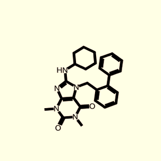 Cn1c(=O)c2c(nc(NC3CCCCC3)n2Cc2ccccc2-c2ccccc2)n(C)c1=O